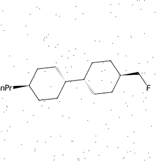 CCC[C@H]1CC[C@H]([C@H]2CC[C@H](CF)CC2)CC1